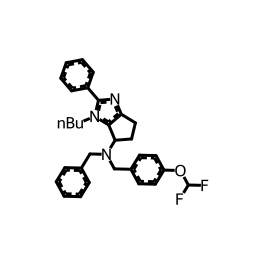 CCCCn1c(-c2ccccc2)nc2c1C(N(Cc1ccccc1)Cc1ccc(OC(F)F)cc1)CC2